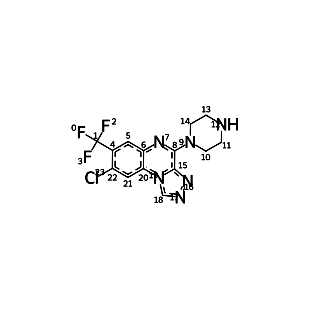 FC(F)(F)c1cc2nc(N3CCNCC3)c3nncn3c2cc1Cl